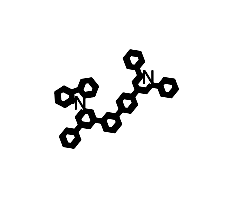 c1ccc(-c2cc(-c3cccc(-c4ccc(-c5cc(-c6ccccc6)nc(-c6ccccc6)c5)cc4)c3)cc(-n3c4ccccc4c4ccccc43)c2)cc1